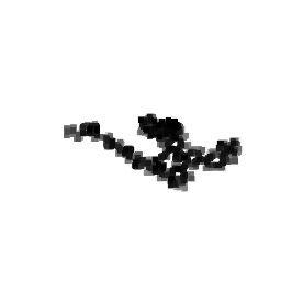 COCCOCCOCCOCCOCc1cc(-c2cc(-c3cccc(C(F)(F)F)c3)ccc2Oc2ccc(S(=O)(=O)Nc3ncns3)cc2C#N)ccn1